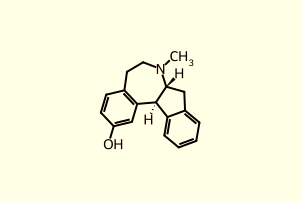 CN1CCc2ccc(O)cc2[C@@H]2c3ccccc3C[C@H]21